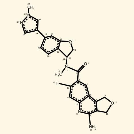 CN(C(=O)c1cc2c3c(c(N)nc2cc1F)COC3)[C@@H]1COc2cc(-c3cnn(C)c3)ccc21